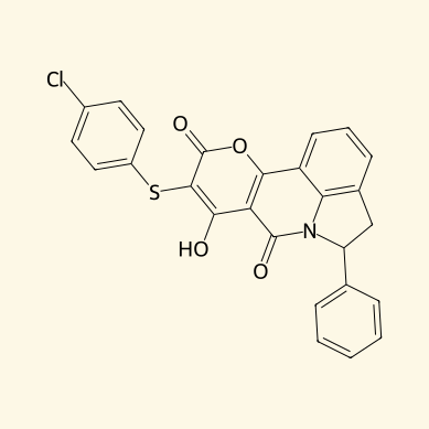 O=c1oc2c(c(O)c1Sc1ccc(Cl)cc1)c(=O)n1c3c(cccc23)CC1c1ccccc1